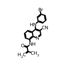 C=C(C)C(=O)Nc1cccc2c(Nc3cccc(Br)c3)c(C#N)cnc12